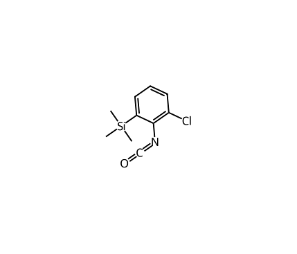 C[Si](C)(C)c1cccc(Cl)c1N=C=O